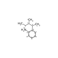 CCC(C)C(C)c1ccccc1N